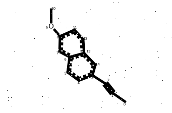 CC#Cc1ccc2cc(OC)ccc2c1